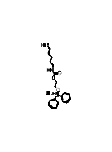 CC(C)(C)[Si](OCCOC(=O)NCCCCCO)(c1ccccc1)c1ccccc1